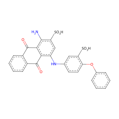 Nc1c(S(=O)(=O)O)cc(Nc2ccc(Oc3ccccc3)c(S(=O)(=O)O)c2)c2c1C(=O)c1ccccc1C2=O